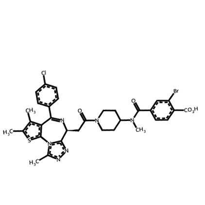 Cc1sc2c(c1C)C(c1ccc(Cl)cc1)=N[C@@H](CC(=O)N1CCC(N(C)C(=O)c3ccc(C(=O)O)c(Br)c3)CC1)c1nnc(C)n1-2